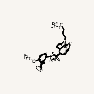 CCOC(=O)CCCn1ccc2c(-c3nnc(-c4ccc(OC(C)C)c(Cl)c4)s3)ccnc21